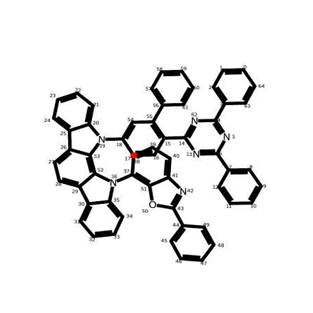 c1ccc(-c2nc(-c3ccccc3)nc(-c3ccc(-n4c5ccccc5c5ccc6c7ccccc7n(-c7cccc8nc(-c9ccccc9)oc78)c6c54)cc3-c3ccccc3)n2)cc1